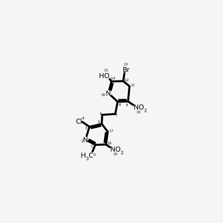 Cc1nc(Cl)c(CCC2=C([N+](=O)[O-])CC(Br)C(O)=N2)cc1[N+](=O)[O-]